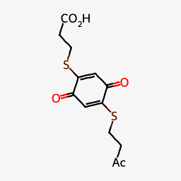 CC(=O)CCSC1=CC(=O)C(SCCC(=O)O)=CC1=O